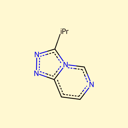 CC(C)c1nnc2ccncn12